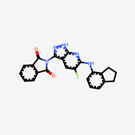 O=C1c2ccccc2C(=O)N1c1n[nH]c2nc(Nc3cccc4c3CCC4)c(F)cc12